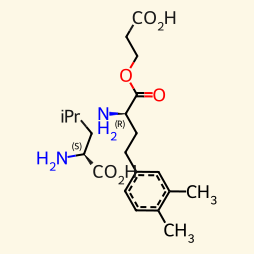 CC(C)C[C@H](N)C(=O)O.Cc1ccc(CC[C@@H](N)C(=O)OCCC(=O)O)cc1C